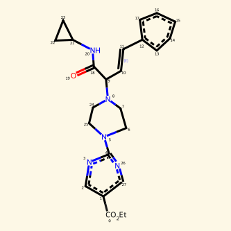 CCOC(=O)c1cnc(N2CCN(C(/C=C/c3ccccc3)C(=O)NC3CC3)CC2)nc1